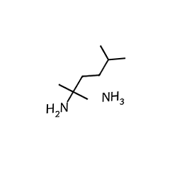 CC(C)CCC(C)(C)N.N